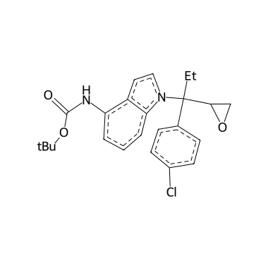 CCC(c1ccc(Cl)cc1)(C1CO1)n1ccc2c(NC(=O)OC(C)(C)C)cccc21